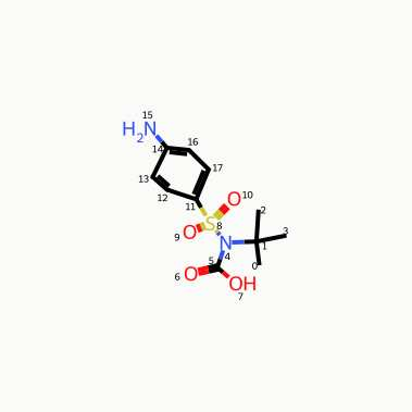 CC(C)(C)N(C(=O)O)S(=O)(=O)c1ccc(N)cc1